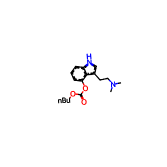 CCCCOC(=O)Oc1cccc2[nH]cc(CCN(C)C)c12